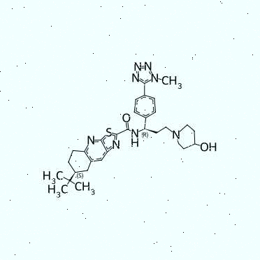 Cn1nnnc1-c1ccc([C@@H](CCN2CCC(O)CC2)NC(=O)c2nc3cc4c(nc3s2)CC[C@H](C(C)(C)C)C4)cc1